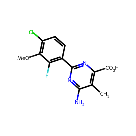 COc1c(Cl)ccc(-c2nc(N)c(C)c(C(=O)O)n2)c1F